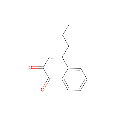 CCCC1=CC(=O)C(=O)c2ccccc21